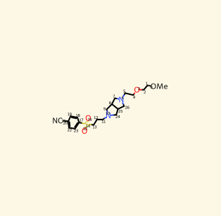 COCCOCCN1CC2CN(CCCS(=O)(=O)c3ccc(C#N)cc3)CC2C1